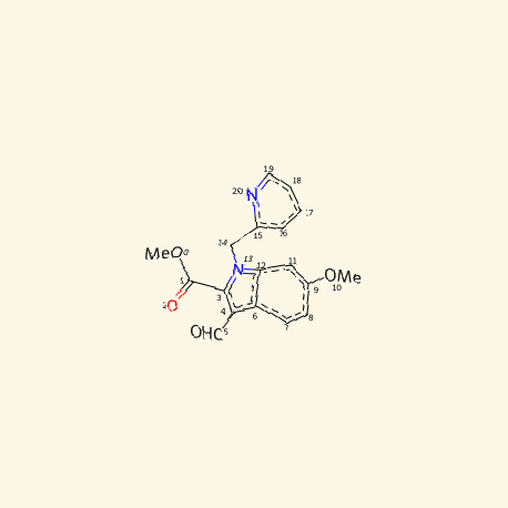 COC(=O)c1c(C=O)c2ccc(OC)cc2n1Cc1ccccn1